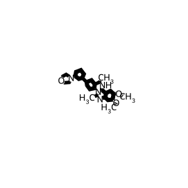 COc1cc2nc(C)nc(NC(C)c3cccc(-c4cccc(N5CCOCC5)c4)c3)c2cc1OC